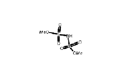 COS(=O)(=O)NS(=O)(=O)OC